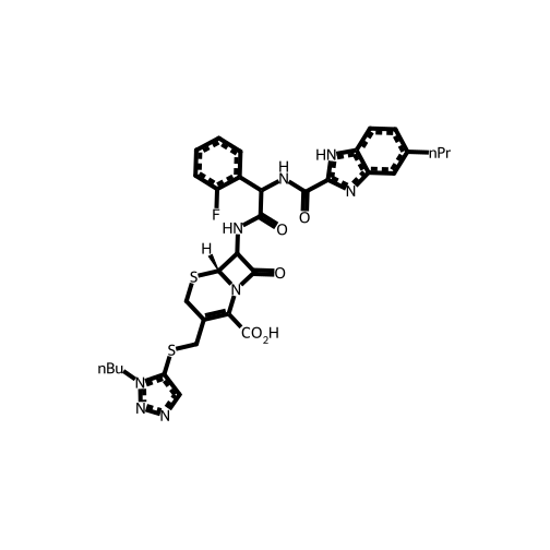 CCCCn1nncc1SCC1=C(C(=O)O)N2C(=O)C(NC(=O)C(NC(=O)c3nc4cc(CCC)ccc4[nH]3)c3ccccc3F)[C@H]2SC1